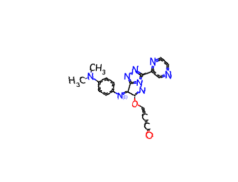 CN(C)c1ccc(/N=C2/C(OC=C=C=O)=Nn3c2nnc3-c2cnccn2)cc1